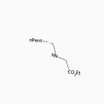 CCCCCCNCC(=O)OCC